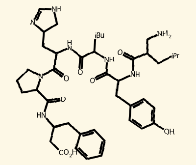 CCC(C)C(NC(=O)C(Cc1ccc(O)cc1)NC(=O)C(CN)CC(C)C)C(=O)NC(CC1CNC=N1)C(=O)N1CCCC1C(=O)NC(CC(=O)O)Cc1ccccc1